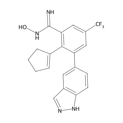 N=C(NO)c1cc(C(F)(F)F)cc(-c2ccc3[nH]ncc3c2)c1C1=CCCC1